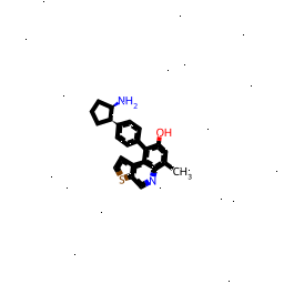 Cc1cc(O)c(-c2ccc([C@@H]3CCC[C@H]3N)cc2)c2c1ncc1sccc12